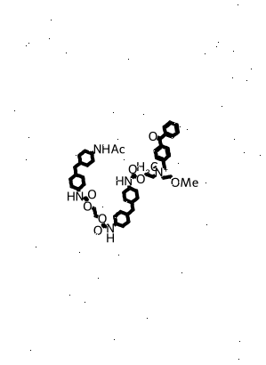 COCC[N+](C)(CCOC(=O)NC1CCC(CC2CCC(NC(=O)OCCOC(=O)NC3CCC(CC4CCC(NC(C)=O)CC4)CC3)CC2)CC1)Cc1ccc(C(=O)c2ccccc2)cc1